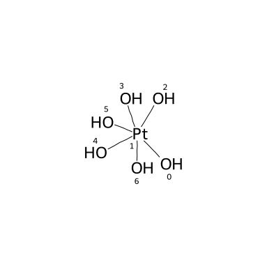 [OH][Pt]([OH])([OH])([OH])([OH])[OH]